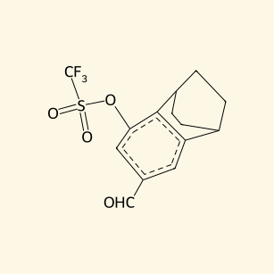 O=Cc1cc(OS(=O)(=O)C(F)(F)F)c2c(c1)C1CCC2CC1